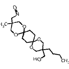 CCCCC1(CO)COC2(CCC3(CC2)OCC(C)(CN=O)CO3)OC1